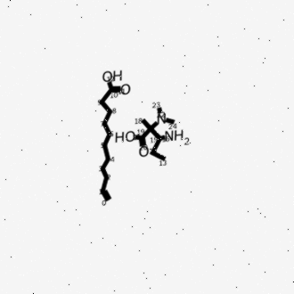 C=CCCCCCCCCC(=O)O.CCC(N)C(C)(C(=O)O)N(C)C